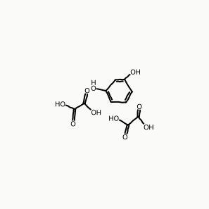 O=C(O)C(=O)O.O=C(O)C(=O)O.Oc1cccc(O)c1